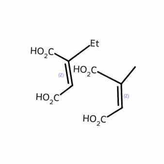 C/C(=C/C(=O)O)C(=O)O.CC/C(=C/C(=O)O)C(=O)O